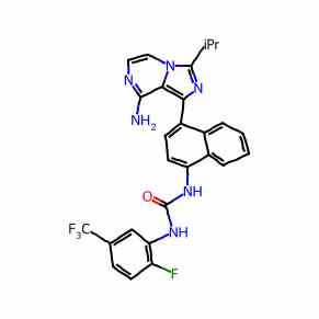 CC(C)c1nc(-c2ccc(NC(=O)Nc3cc(C(F)(F)F)ccc3F)c3ccccc23)c2c(N)nccn12